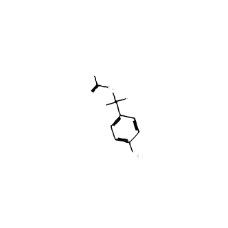 CC(=O)NC(C)(C)c1ccc(O)cc1